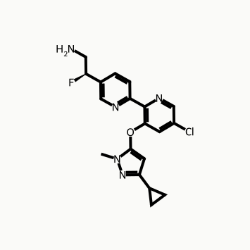 Cn1nc(C2CC2)cc1Oc1cc(Cl)cnc1-c1ccc([C@@H](F)CN)cn1